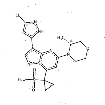 C[C@@H]1COCCN1c1cc(C2(S(C)(=O)=O)CC2)n2ncc(-c3cc(Cl)n[nH]3)c2n1